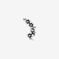 Cc1nn(CC(=O)Nc2ccc(-c3ccc(C#N)nc3)cn2)c(C)c1-c1ccnc(C(F)(F)F)c1